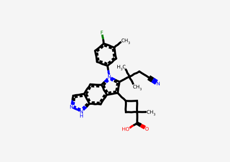 Cc1cc(-n2c(C(C)(C)CC#N)c(C3CC(C)(C(=O)O)C3)c3cc4[nH]ncc4cc32)ccc1F